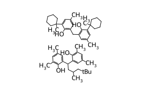 Cc1cc(C)c(O)c(C(CC(C)CC(C)(C)C)c2cc(C)cc(C)c2O)c1.Cc1cc(Cc2cc(C)cc(C3(C)CCCCC3)c2O)c(O)c(C2(C)CCCCC2)c1